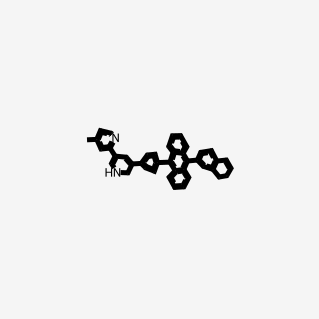 Cc1ccnc(C2=CNCC(c3ccc(-c4c5ccccc5c(-c5ccc6c(c5)CCC=C6)c5ccccc45)cc3)=C2)c1